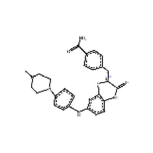 CN1CCN(c2ccc(Nc3ncc4c(n3)S/C(=C\c3ccc(C(N)=O)cc3)C(=O)N4)cc2)CC1